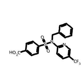 O=C(O)c1ccc(S(=O)(=O)N(Cc2ccccc2)c2ccc(C(F)(F)F)cn2)cc1